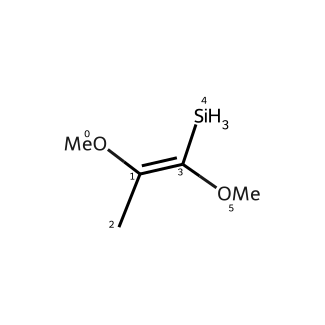 COC(C)=C([SiH3])OC